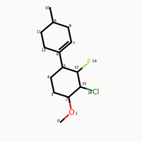 COC1CCC(C2=CCC(C)CC2)C(F)C1Cl